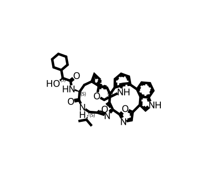 CC(C)[C@@H]1NC(=O)[C@@H](NC(=O)[C@@H](O)C2CCCCC2)Cc2ccc3c(c2)[C@]24c5cccc(c5NC2O3)-c2cccc3[nH]cc(c23)-c2cnc(o2)-c2nc1oc24